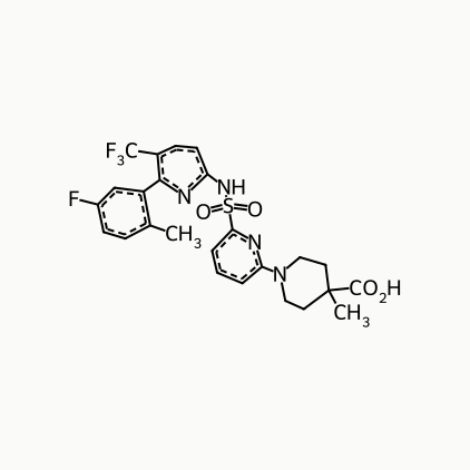 Cc1ccc(F)cc1-c1nc(NS(=O)(=O)c2cccc(N3CCC(C)(C(=O)O)CC3)n2)ccc1C(F)(F)F